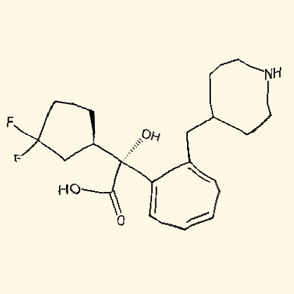 O=C(O)[C@](O)(c1ccccc1CC1CCNCC1)[C@@H]1CCC(F)(F)C1